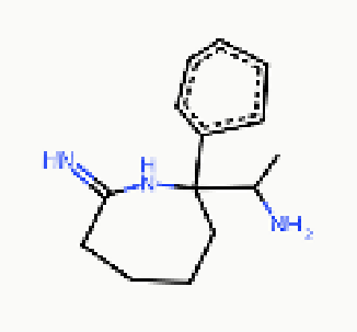 CC(N)C1(c2ccccc2)CCCCC(=N)N1